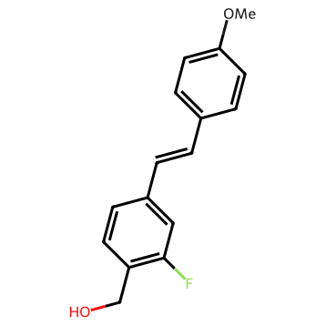 COc1ccc(/C=C/c2ccc(CO)c(F)c2)cc1